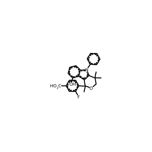 CC1(C)COC(C)(c2ccc(C(=O)O)cc2F)c2c1n(-c1ccccc1)c1cccc(O)c21